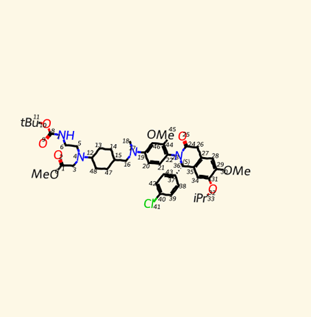 COC(=O)CN(CCNC(=O)OC(C)(C)C)C1CCC(CN(C)c2ccc(N3C(=O)Cc4cc(OC)c(OC(C)C)cc4[C@@H]3c3ccc(Cl)cc3)c(OC)c2)CC1